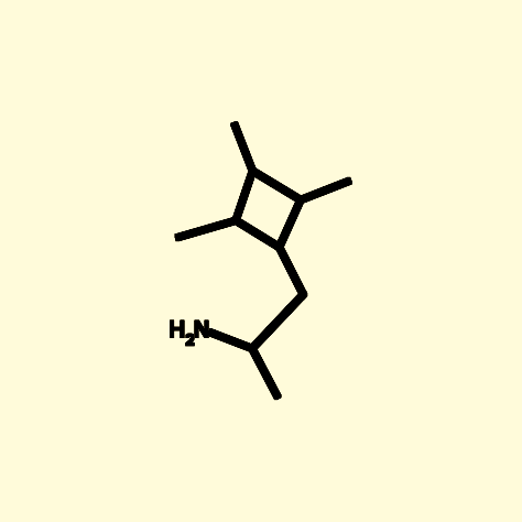 CC(N)CC1C(C)C(C)C1C